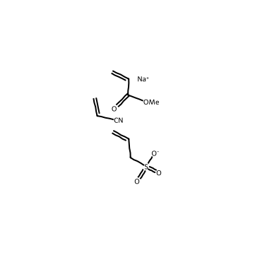 C=CC#N.C=CC(=O)OC.C=CCS(=O)(=O)[O-].[Na+]